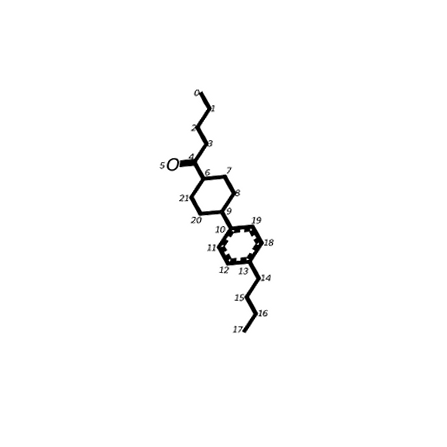 CCCCC(=O)C1CCC(c2ccc(CCCC)cc2)CC1